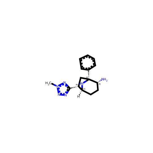 Cn1nnc([C@@H]2C[C@]3(c4ccccc4)N[C@H]2CC[C@H]3N)n1